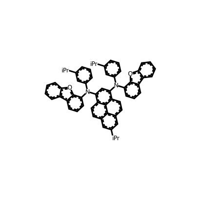 CC(C)c1cccc(N(c2cc(N(c3cccc(C(C)C)c3)c3cccc4c3oc3ccccc34)c3ccc4cc(C(C)C)cc5ccc2c3c54)c2cccc3c2oc2ccccc23)c1